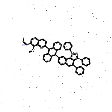 C=Nc1c(/C=C\C)ccc2ccc(-c3c4ccccc4c(-c4ccc5cc(-c6ccccc6)c6c(-c7ccccc7)nn(-c7ccccc7)c6c5c4)c4ccccc34)nc12